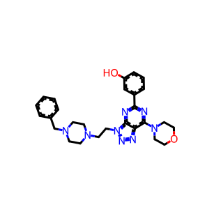 Oc1cccc(-c2nc(N3CCOCC3)c3nnn(CCN4CCN(Cc5ccccc5)CC4)c3n2)c1